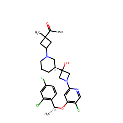 COC(=O)C1(C)CC(N2CCC[C@H](C3(O)CN(c4cc(O[C@H](C)c5ccc(Cl)cc5Cl)c(Cl)cn4)C3)C2)C1